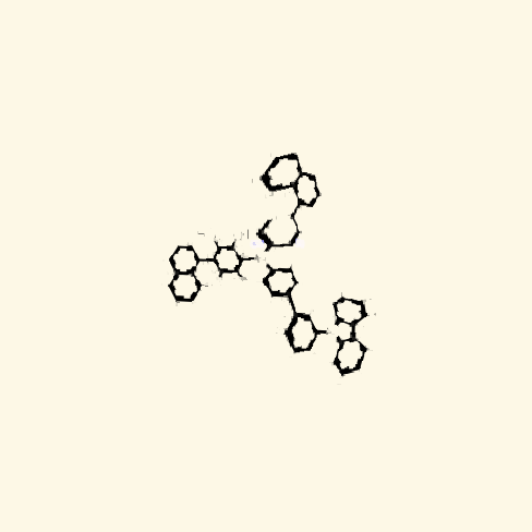 C/C=C(\C=C/Cc1cccc2ccccc12)N(c1ccc(-c2cccc(-n3c4ccccc4c4ccccc43)c2)cc1)c1c(O)c(O)c(-c2cccc3ccccc23)c(O)c1O